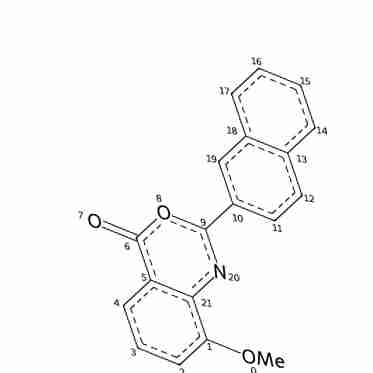 COc1cccc2c(=O)oc(-c3ccc4ccccc4c3)nc12